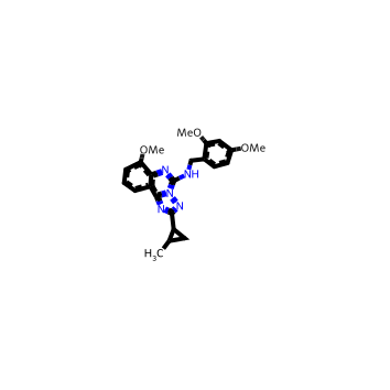 COc1ccc(CNc2nc3c(OC)cccc3c3nc(C4CC4C)nn23)c(OC)c1